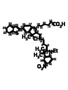 CCN1/C(=C/C=C/C=C/C2=[N+](CCCCCC(=O)O)c3ccc(-c4cc5ccccc5s4)cc3C2(C)C)C(C)(C)c2cc([N+](=O)[O-])ccc21